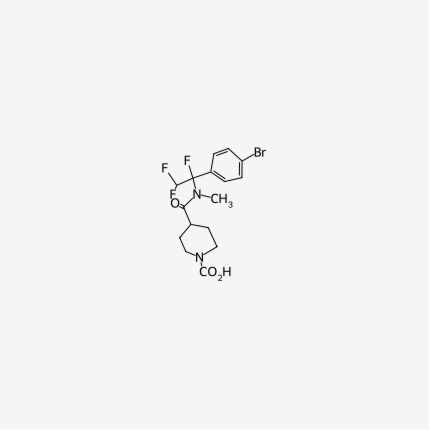 CN(C(=O)C1CCN(C(=O)O)CC1)C(F)(c1ccc(Br)cc1)C(F)F